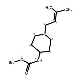 CC(C)=CCN1CCC(NC(=O)OC(C)(C)C)CC1